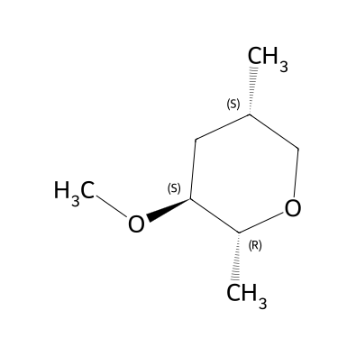 CO[C@H]1C[C@H](C)CO[C@@H]1C